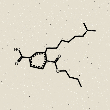 CCCCOC(=O)c1ccc(C(=O)O)cc1CCCCCCC(C)C